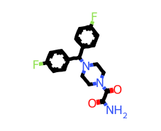 NC(=O)C(=O)N1CCN(C(c2ccc(F)cc2)c2ccc(F)cc2)CC1